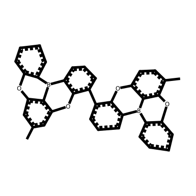 Cc1cc2c3c(c1)Oc1c(cccc1-c1cccc4c1Oc1ccc(C)c5c1B4c1ccccc1O5)B3c1ccccc1O2